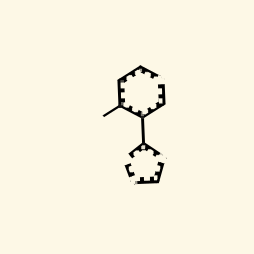 FC(F)(F)c1ccncc1-c1ncno1